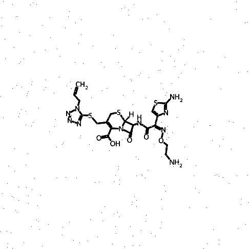 C=CCn1nnnc1SCC1=C(C(=O)O)N2C(=O)C(NC(=O)/C(=N\OCCN)c3csc(N)n3)[C@H]2SC1